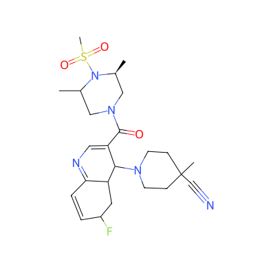 CC1CN(C(=O)C2=CN=C3C=CC(F)CC3C2N2CCC(C)(C#N)CC2)C[C@H](C)N1S(C)(=O)=O